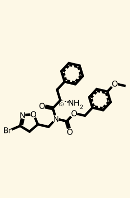 COc1ccc(COC(=O)N(CC2CC(Br)=NO2)C(=O)[C@@H](N)Cc2ccccc2)cc1